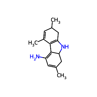 CC1=CC(N)=C2C3=C(CC(C)C=C3C)NC2C1